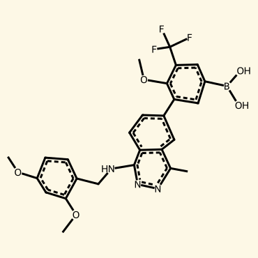 COc1ccc(CNc2nnc(C)c3cc(-c4cc(B(O)O)cc(C(F)(F)F)c4OC)ccc23)c(OC)c1